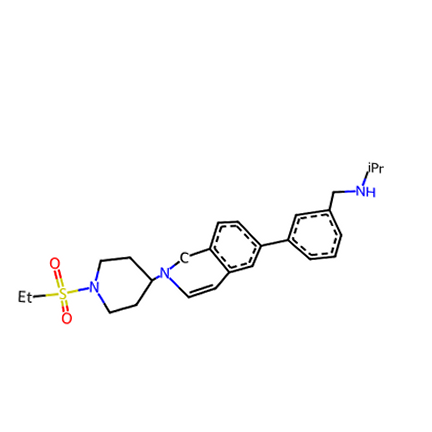 CCS(=O)(=O)N1CCC(N2C=Cc3cc(-c4cccc(CNC(C)C)c4)ccc3C2)CC1